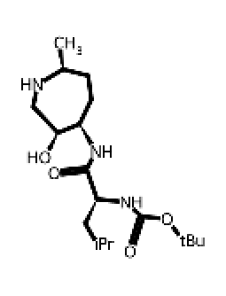 CC(C)C[C@H](NC(=O)OC(C)(C)C)C(=O)N[C@@H]1CC[C@H](C)NC[C@@H]1O